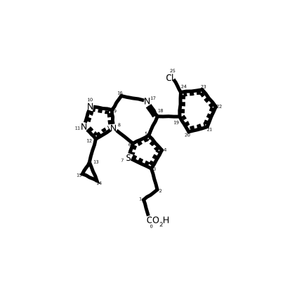 O=C(O)CCc1cc2c(s1)-n1c(nnc1C1CC1)CN=C2c1ccccc1Cl